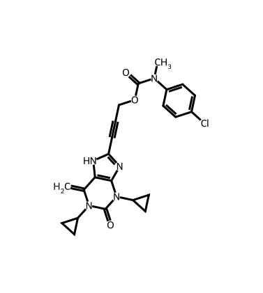 C=C1c2[nH]c(C#CCOC(=O)N(C)c3ccc(Cl)cc3)nc2N(C2CC2)C(=O)N1C1CC1